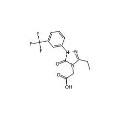 CCc1nn(-c2cccc(C(F)(F)F)c2)c(=O)n1CC(=O)O